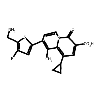 Cc1c(-c2cc(F)c(CN)s2)ccn2c(=O)c(C(=O)O)cc(C3CC3)c12